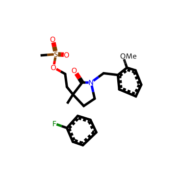 COc1ccccc1CN1CCC(C)(CCOS(C)(=O)=O)C1=O.Fc1ccccc1